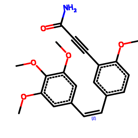 COc1ccc(/C=C\c2cc(OC)c(OC)c(OC)c2)cc1C#CC(N)=O